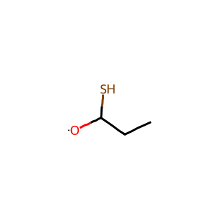 CCC([O])S